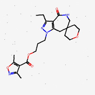 CCc1nn(CCCOC(=O)c2c(C)noc2C)c2c1C(=O)NCC1(CCOCC1)C2